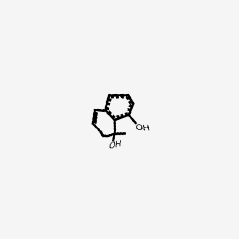 CC1(O)CC=Cc2cccc(O)c21